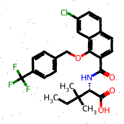 CCC(C)(C)[C@H](NC(=O)c1ccc2ccc(Cl)cc2c1OCc1ccc(C(F)(F)F)cc1)C(=O)O